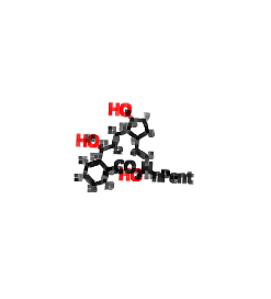 CCCCCC(O)C=CC1CCC(O)C1C=CC(O)c1ccccc1C(=O)O